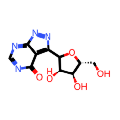 O=C1N=CN=C2N=NC(C3O[C@H](CO)[C@@H](O)[C@H]3O)=C12